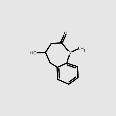 CN1C(=O)CC(O)Cc2ccccc21